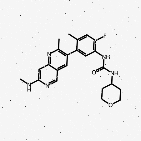 CNc1cc2nc(C)c(-c3cc(NC(=O)NC4CCOCC4)c(F)cc3C)cc2cn1